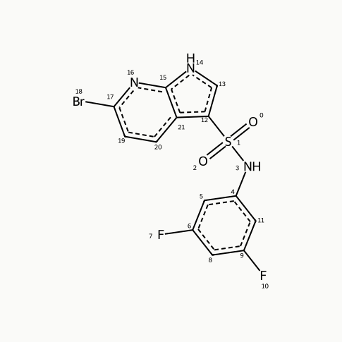 O=S(=O)(Nc1cc(F)cc(F)c1)c1c[nH]c2nc(Br)ccc12